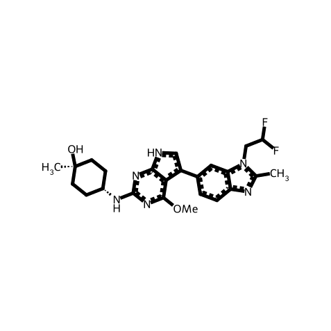 COc1nc(N[C@H]2CC[C@](C)(O)CC2)nc2[nH]cc(-c3ccc4nc(C)n(CC(F)F)c4c3)c12